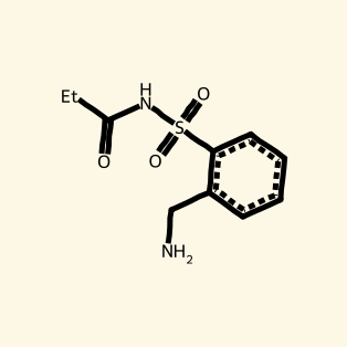 CCC(=O)NS(=O)(=O)c1ccccc1CN